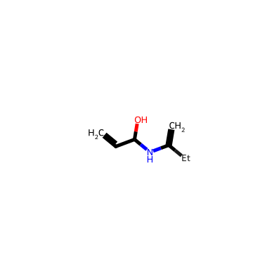 C=CC(O)NC(=C)CC